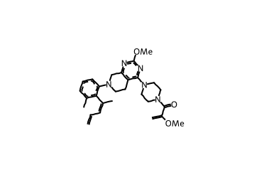 C=C/C=C(/C)c1c(C)cccc1N1CCc2c(nc(OC)nc2N2CCN(C(=O)C(=C)OC)CC2)C1